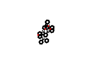 c1ccc(-n2c3ccccc3c3ccc(-n4c5ccccc5c5c([Si](c6ccccc6)(c6ccccc6)c6ccccc6)ccc(-n6c7ccccc7c7ccccc76)c54)cc32)cc1